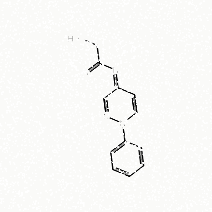 CCC(=O)/N=c1/ccn(-c2ccccc2)nc1